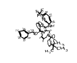 CC(C)(C)OC(=O)N1CCN(C(=O)OCc2ccccc2)[C@H](C(=O)Nc2cccc(C(F)(F)F)n2)C1